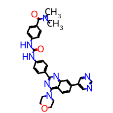 CN(C)C(=O)c1ccc(NC(=O)Nc2ccc(-c3nc(N4CCOCC4)c4ccc(-c5cncnc5)cc4n3)cc2)cc1